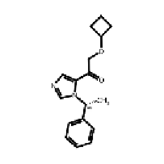 C[C@H](c1ccccc1)n1cncc1C(=O)COC1CCC1